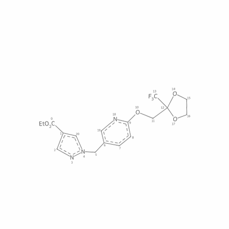 CCOC(=O)c1cnn(Cc2ccc(OCC3(C(F)(F)F)OCCO3)nc2)c1